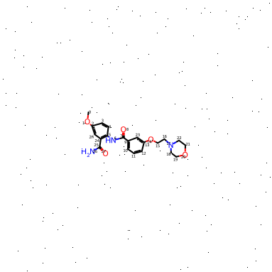 COc1ccc(NC(=O)c2cccc(OCCN3CCOCC3)c2)c(C(N)=O)c1